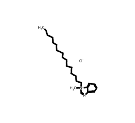 CCCCCCCCCCCCCCCC[N+]1(C)C=Nc2ccccc21.[Cl-]